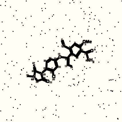 C=Nc1cc(OC)c(C(N)=O)cc1/C(=C\C)Oc1ccc(N2C(=O)CN(C)C2=S)c(Cl)c1